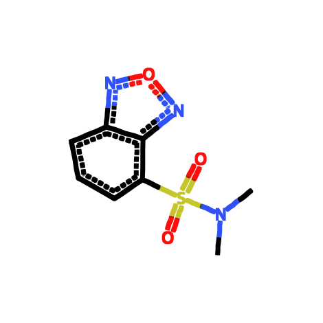 CN(C)S(=O)(=O)c1cccc2nonc12